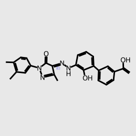 C=C(O)c1cccc(-c2cccc(N/N=C3/C(=O)N(c4ccc(C)c(C)c4)N=C3C)c2O)c1